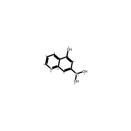 OB(O)c1cc(O)c2cccnc2c1